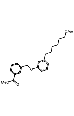 COCCCCCCc1cccc(OCc2cccc(C(=O)OC)c2)c1